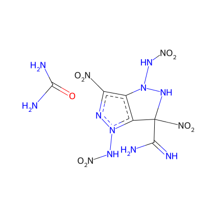 N=C(N)C1([N+](=O)[O-])NN(N[N+](=O)[O-])c2c([N+](=O)[O-])nn(N[N+](=O)[O-])c21.NC(N)=O